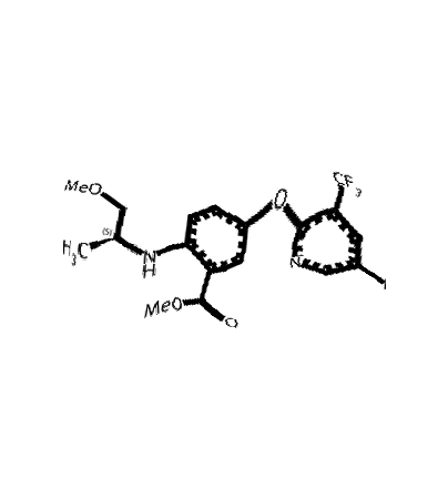 COC[C@H](C)Nc1ccc(Oc2ncc(I)cc2C(F)(F)F)cc1C(=O)OC